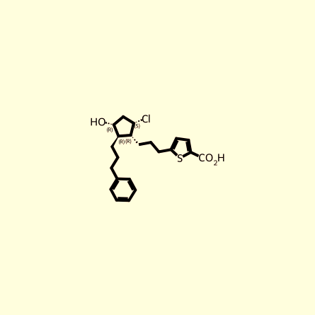 O=C(O)c1ccc(CCC[C@@H]2[C@@H](CCCc3ccccc3)[C@H](O)C[C@@H]2Cl)s1